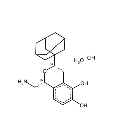 Cl.NC[C@@H]1O[C@H](C23CC4CC(CC(C4)C2)C3)Cc2c1ccc(O)c2O.O